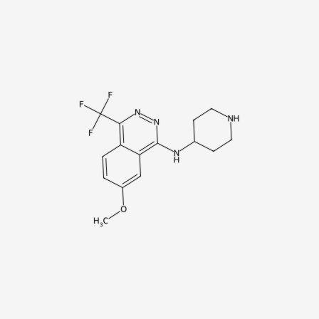 COc1ccc2c(C(F)(F)F)nnc(NC3CCNCC3)c2c1